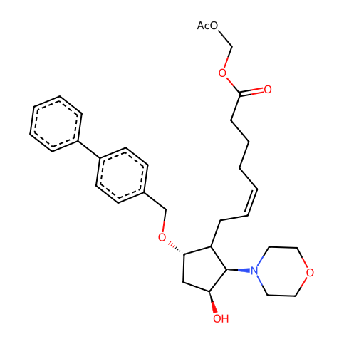 CC(=O)OCOC(=O)CCC/C=C\CC1[C@@H](OCc2ccc(-c3ccccc3)cc2)C[C@H](O)[C@@H]1N1CCOCC1